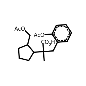 CC(=O)OCC1CCCC1C(C)(Cc1ccccc1OC(C)=O)C(=O)O